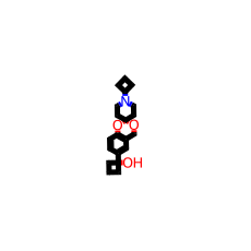 OC1(c2ccc3c(c2)COC2(CCN(C4CCC4)CC2)O3)CCC1